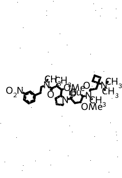 CCC(C)C(C(CC(=O)N1CCCC1C(OC)C(C)C(=O)N(C)CCc1cccc([N+](=O)[O-])c1)OC)N(C)C(=O)CC1(N(C)C)CCC1